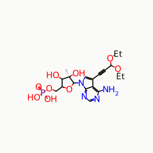 CCOC(C#Cc1cn(C2OC(COP(=O)(O)O)C(O)[C@@]2(C)O)c2ncnc(N)c12)OCC